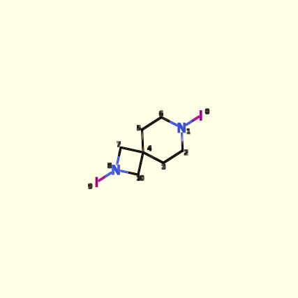 IN1CCC2(CC1)CN(I)C2